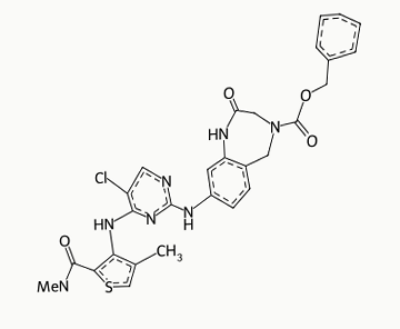 CNC(=O)c1scc(C)c1Nc1nc(Nc2ccc3c(c2)NC(=O)CN(C(=O)OCc2ccccc2)C3)ncc1Cl